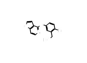 OCc1cc(Oc2nccc3occc23)ccc1Br